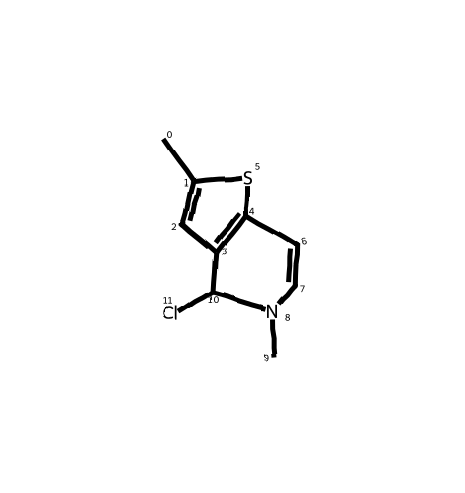 Cc1cc2c(s1)C=CN(C)C2Cl